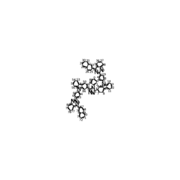 c1ccc(-n2c(-c3ccc4c5ccccc5n(-c5ccc(-c6nc(-c7ccc8ccccc8c7)c7ccccc7n6)cc5)c4c3)nnc2-c2ccc3c4ccccc4n(-c4ccc(-c5nc(-c6ccc7ccccc7c6)c6ccccc6n5)cc4)c3c2)cc1